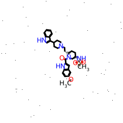 COc1ccc2[nH]c(C(=O)N3C[C@H](NS(C)(=O)=O)CC[C@H]3CCN3CCC(c4c[nH]c5ccccc45)CC3)cc2c1